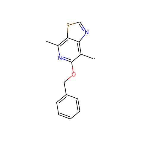 [CH2]c1c(OCc2ccccc2)nc(C)c2scnc12